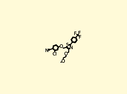 COCCOCc1nc(-c2ccc(C(F)(F)F)cc2)sc1COc1ccc(C#N)c(Cl)c1